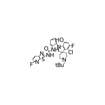 CC(C)(C)CN1CCC2(CC1)CN(c1ccccc1NC(=O)Nc1nc3ccc(F)nc3s1)c1c(O)cc(F)c(Cl)c12